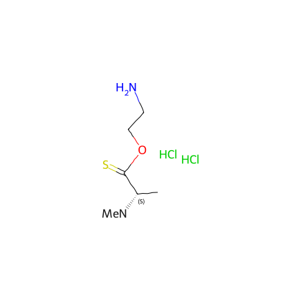 CN[C@@H](C)C(=S)OCCN.Cl.Cl